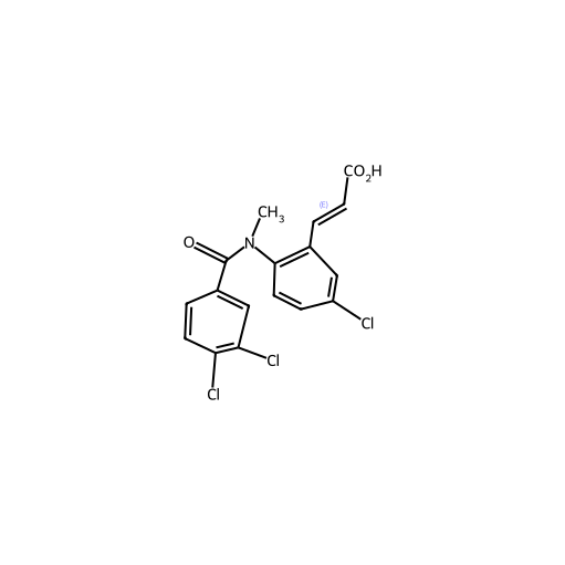 CN(C(=O)c1ccc(Cl)c(Cl)c1)c1ccc(Cl)cc1/C=C/C(=O)O